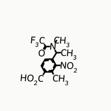 Cc1c(C(=O)O)ccc(C(C)N(C)C(=O)C(F)(F)F)c1[N+](=O)[O-]